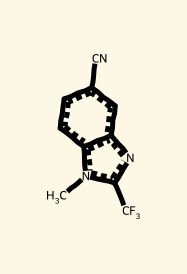 Cn1c(C(F)(F)F)nc2cc(C#N)ccc21